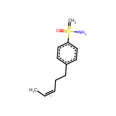 C=S(N)(=O)c1ccc(CC/C=C\C)cc1